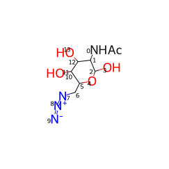 CC(=O)NC1C(O)OC(CN=[N+]=[N-])C(O)C1O